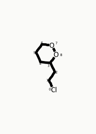 ClCCC1CCCOO1